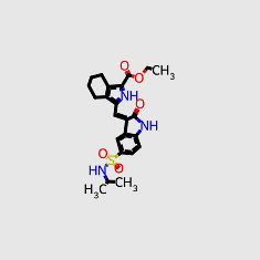 CCOC(=O)c1[nH]c(C=C2C(=O)Nc3ccc(S(=O)(=O)NC(C)C)cc32)c2c1CCCC2